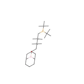 CC(C)(C)P(C[Si](C)(C)[Si](C)(C)CCB1C2CCCC1CCC2)C(C)(C)C